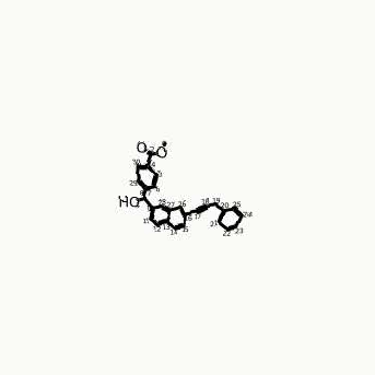 COC(=O)c1ccc(C(O)c2ccc3ccc(C#CCc4ccccc4)cc3c2)cc1